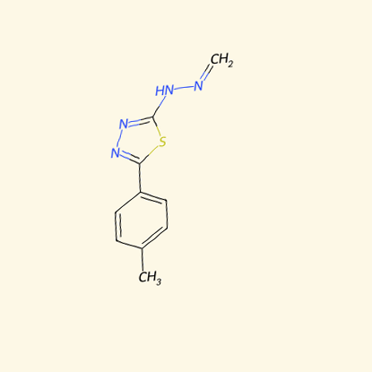 C=NNc1nnc(-c2ccc(C)cc2)s1